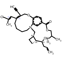 C#C/C1=C(\C=C(/C)Cl)CCCCN(C[C@@H]2CC[C@H]2[C@@H](O)CC=C)c2cc(C(=O)OCC(C)C)ccc2OC1